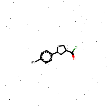 CC(C)c1ccc(C2CCC(C(=O)Cl)C2)cc1